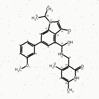 COc1cccc(-c2cc(C(O)NCc3c(C)cc(C)[nH]c3=O)c3c(Cl)cn(C(C)C)c3c2)c1